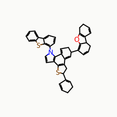 C1=CC(C2Cc3c(c4ccn(-c5cccc6c5sc5ccccc56)c4c4c3=CC(C3=C5OC6=C(C=CCC6)C5CC=C3)CC=4)S2)=CCC1